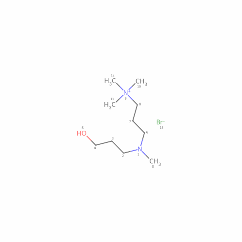 CN(CCCO)CCC[N+](C)(C)C.[Br-]